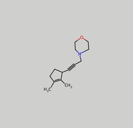 CC1=C(C)C(C#CCN2CCOCC2)CC1